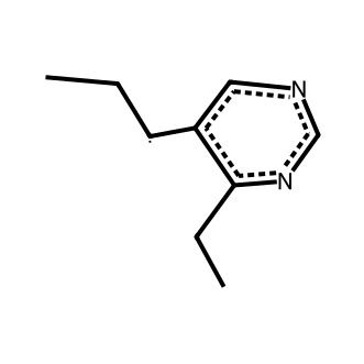 CC[CH]c1cncnc1CC